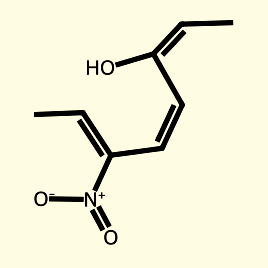 CC=C(/C=C\C(O)=C/C)[N+](=O)[O-]